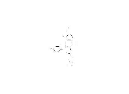 CC(C)Oc1ccc(N/C(=C/C(=O)NCC(C)(O)C(=O)O)NCc2ccc(Cl)cc2)cc1F